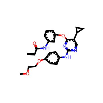 C=CC(=O)Nc1cccc(Oc2nc(Nc3ccc(OCCOC)cc3)ncc2C2CC2)c1